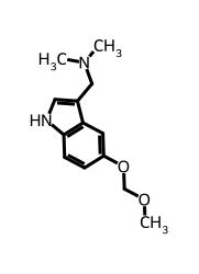 COCOc1ccc2[nH]cc(CN(C)C)c2c1